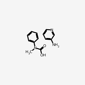 CN(C(=O)O)c1ccccc1.Nc1cccnc1